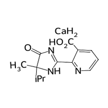 CC(C)C1(C)NC(c2ncccc2C(=O)O)=NC1=O.[CaH2]